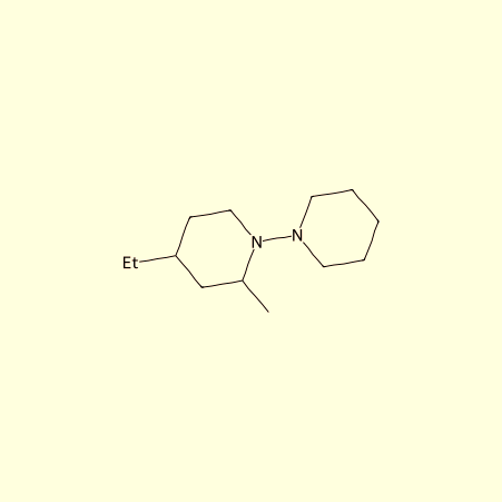 CCC1CCN(N2CCCCC2)C(C)C1